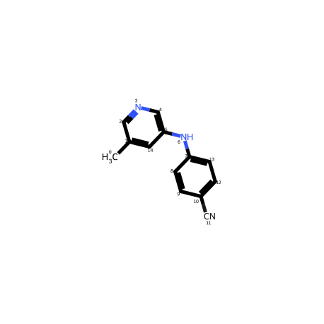 Cc1cncc(Nc2ccc(C#N)cc2)c1